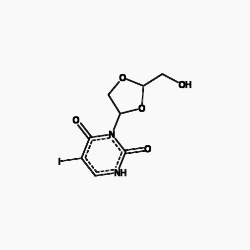 O=c1[nH]cc(I)c(=O)n1C1COC(CO)O1